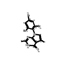 Cc1nc2c(c(C)cn2-c2c(Br)cc(Br)cc2Br)c(=O)[nH]1